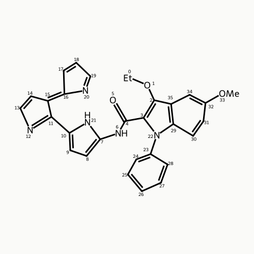 CCOc1c(C(=O)Nc2ccc(C3=NC=CC3=C3C=CC=N3)[nH]2)n(-c2ccccc2)c2ccc(OC)cc12